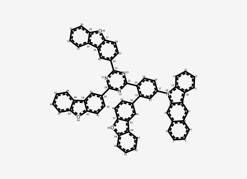 c1ccc2cc3c(cc2c1)c1ccccc1n3-c1ccc(-c2nc(-c3ccc4oc5ccccc5c4c3)nc(-c3ccc4oc5ccccc5c4c3)n2)c(-c2ccc3oc4ccccc4c3c2)c1